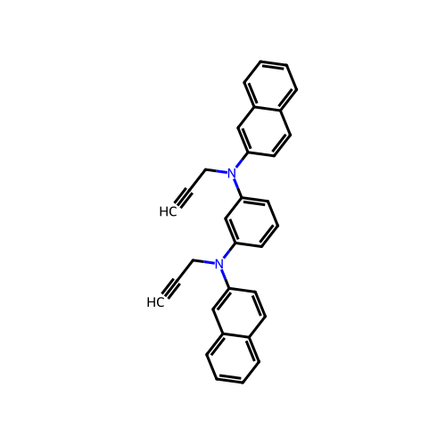 C#CCN(c1cccc(N(CC#C)c2ccc3ccccc3c2)c1)c1ccc2ccccc2c1